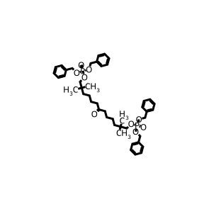 CC(C)(CCCCC(=O)CCCCC(C)(C)COP(=O)(OCc1ccccc1)OCc1ccccc1)COP(=O)(OCc1ccccc1)OCc1ccccc1